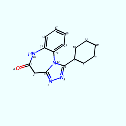 O=C1Cc2nnc(C3CCCCC3)n2-c2ccccc2N1